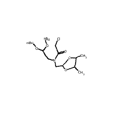 CCCCOC(CN(CC1OC(C)C(C)O1)C(=O)CCl)OCCCC